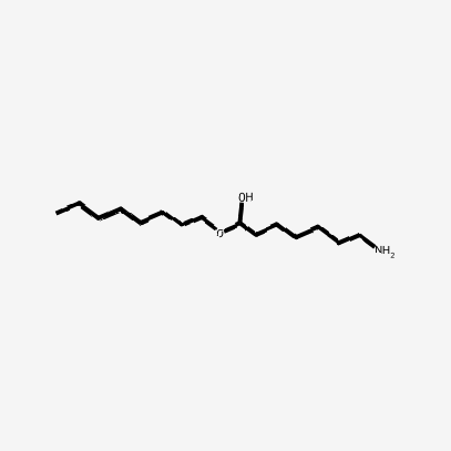 CCCCCCCCOC(O)CCCCCCN